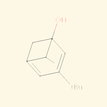 CC1C2=CC(C(C)(C)C)=CC1(O)C2